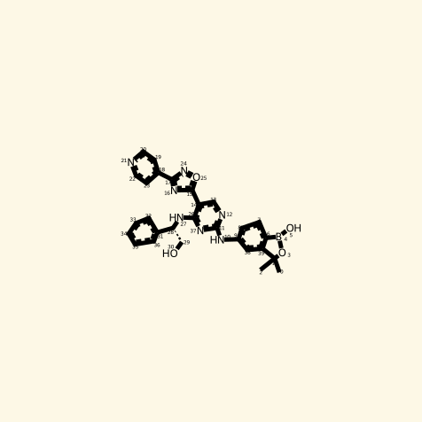 CC1(C)OB(O)c2ccc(Nc3ncc(-c4nc(-c5ccncc5)no4)c(N[C@H](CO)c4ccccc4)n3)cc21